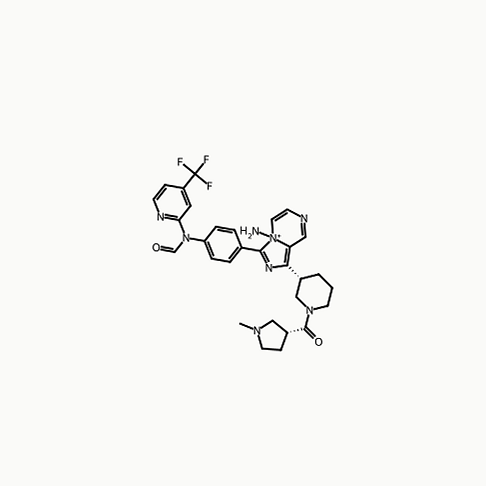 CN1CC[C@@H](C(=O)N2CCC[C@@H](C3=C4C=NC=C[N+]4(N)C(c4ccc(N(C=O)c5cc(C(F)(F)F)ccn5)cc4)=N3)C2)C1